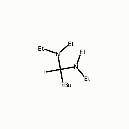 CCN(CC)C(I)(N(CC)CC)C(C)(C)C